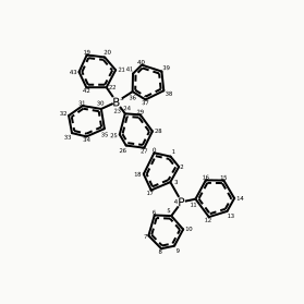 c1ccc(P(c2ccccc2)c2ccccc2)cc1.c1ccc([B-](c2ccccc2)(c2ccccc2)c2ccccc2)cc1